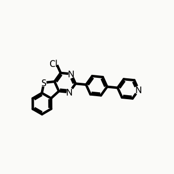 Clc1nc(-c2ccc(-c3ccncc3)cc2)nc2c1sc1ccccc12